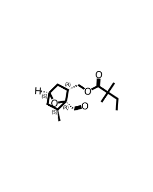 CCC(C)(C)C(=O)OC[C@H]1C[C@@H]2C[C@H](C)[C@@]1(C=O)O2